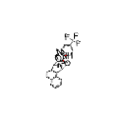 O=S(=O)(c1ccc(C(F)(F)F)cc1)N1C2Cc3[nH]ncc3C1c1ccc3ccccc3c12